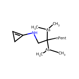 CCCCCC(CNC1=CC1)([As](C)C)[As](C)C